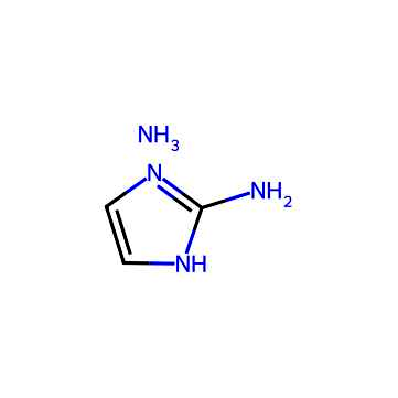 N.Nc1ncc[nH]1